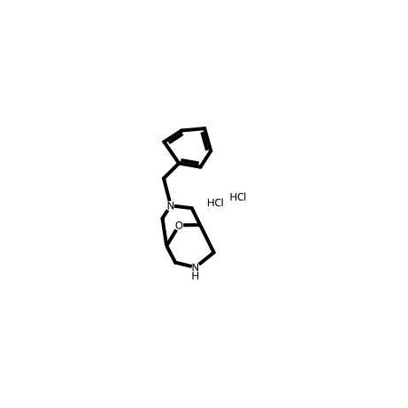 Cl.Cl.c1ccc(CN2CC3CNCC(C2)O3)cc1